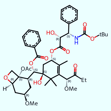 CCC(=O)[C@H](OC)C1=C(C)[C@@H](OC(=O)[C@H](O)[C@@H](NC(=O)OC(C)(C)C)c2ccccc2)C[C@@](O)([C@@H](OC(=O)c2ccccc2)[C@H]2C[C@@H](OC)C[C@H]3OC[C@@]23OC(C)=O)C1(C)C